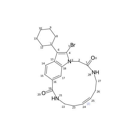 O=C1Cn2c(Br)c(C3CCCCC3)c3ccc(cc32)C(=O)NCC/C=C\CCN1